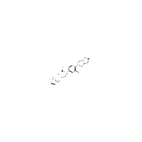 O=C1CC2CN(c3ccc(N4C[C@H](Cn5ccnn5)OC4=O)cc3F)CC2C1